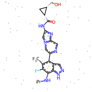 CC(C)Nc1c(F)c(C(F)(F)F)c(-c2cn3cc(NC(=O)[C@@H]4C[C@@H]4CO)nc3cn2)c2cn[nH]c12